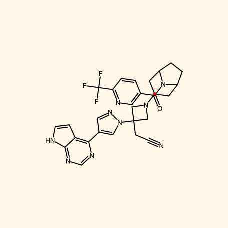 N#CCC1(n2cc(-c3ncnc4[nH]ccc34)cn2)CN(C2CC3CCC(C2)N3C(=O)c2ccc(C(F)(F)F)nc2)C1